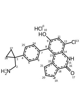 Cl.NCC1(c2ccc(-c3c(O)cc(Cl)c4[nH]c(=O)c5sccc5c34)cc2)CC1